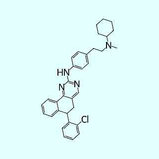 CN(CCc1ccc(Nc2ncc3c(n2)-c2ccccc2C(c2ccccc2Cl)C3)cc1)C1CCCCC1